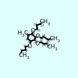 CCCCOC1C[C@H](C)C(OCCCC)C(OCCCC)[C@H]1OCCCC